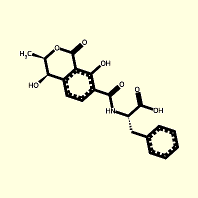 C[C@H]1OC(=O)c2c(ccc(C(=O)N[C@@H](Cc3ccccc3)C(=O)O)c2O)[C@H]1O